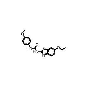 CCOc1ccc2nc(NC(=O)Nc3ccc(OC)cc3)sc2c1